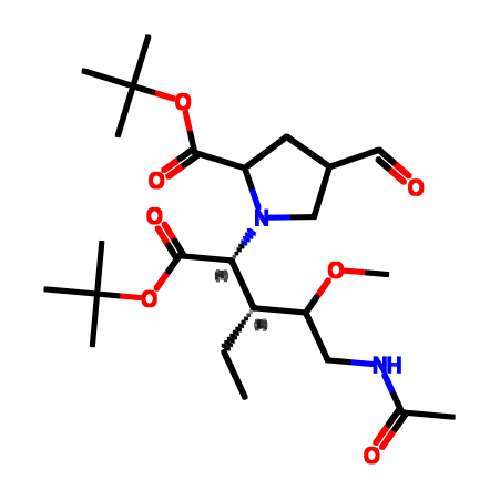 CC[C@@H](C(CNC(C)=O)OC)[C@H](C(=O)OC(C)(C)C)N1CC(C=O)CC1C(=O)OC(C)(C)C